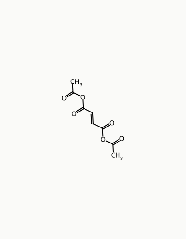 CC(=O)OC(=O)C=CC(=O)OC(C)=O